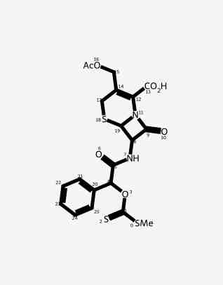 CSC(=S)OC(C(=O)NC1C(=O)N2C(C(=O)O)=C(COC(C)=O)CSC12)c1ccccc1